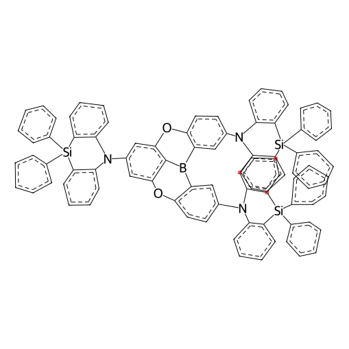 c1ccc([Si]2(c3ccccc3)c3ccccc3N(c3cc4c5c(c3)Oc3ccc(N6c7ccccc7[Si](c7ccccc7)(c7ccccc7)c7ccccc76)cc3B5c3cc(N5c6ccccc6[Si](c6ccccc6)(c6ccccc6)c6ccccc65)ccc3O4)c3ccccc32)cc1